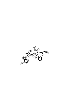 CC(C)OC(=O)[C@H](CCC(=O)C=[N+]=N)NP(=O)(OC[C@H]1O[C@@H](n2cnc3c(N)ncnc32)[C@@H](O)[C@H]1O)Oc1ccccc1